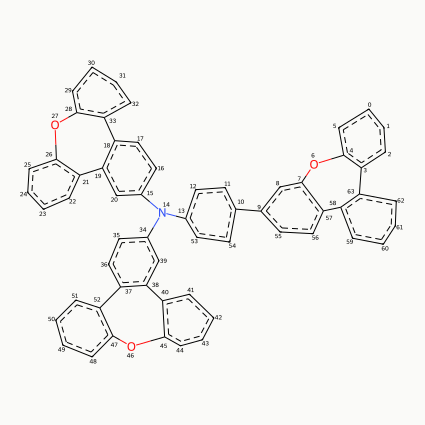 c1ccc2c(c1)Oc1cc(-c3ccc(N(c4ccc5c(c4)-c4ccccc4Oc4ccccc4-5)c4ccc5c(c4)-c4ccccc4Oc4ccccc4-5)cc3)ccc1-c1ccccc1-2